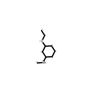 CCOC1CCCC(NC)C1